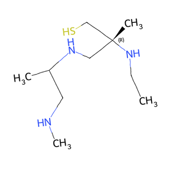 CCN[C@@](C)(CS)CNC(C)CNC